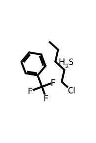 CCCCCCl.FC(F)(F)c1ccccc1.S